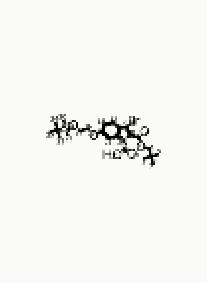 CC(C)(C)COC(=O)c1c(Br)c2ccc(OCCO[Si](C)(C)C(C)(C)C)cc2n1C(=O)O